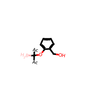 BC(Oc1ccccc1CO)(C(C)=O)C(C)=O